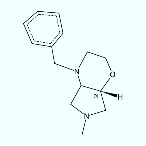 CN1CC2[C@@H](C1)OCCN2Cc1ccccc1